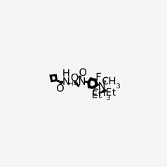 CCC(CC)N(C)c1c(C)cc(N2C[C@H](CNC(=O)C3CCC3)OC2=O)cc1F